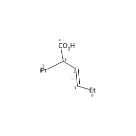 CC/C=C/C(C(=O)O)C(C)C